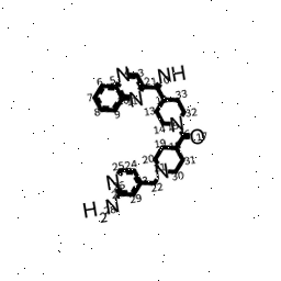 N=C(c1cnc2ccccc2n1)C1CCN(C(=O)C2CCN(Cc3ccnc(N)c3)CC2)CC1